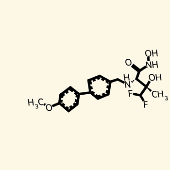 COc1ccc(-c2ccc(CN[C@H](C(=O)NO)[C@](C)(O)C(F)F)cc2)cc1